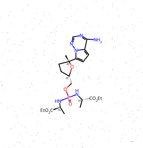 CCOC(=O)[C@H](C)NP(=O)(N[C@@H](C)C(=O)OCC)OC[C@@H]1CC[C@](C)(c2ccc3c(N)ncnn23)O1